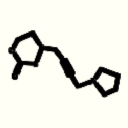 O=C1OCCN(CC#CCN2CCCC2)S1